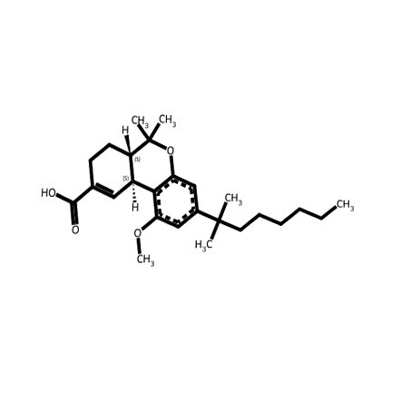 CCCCCCC(C)(C)c1cc(OC)c2c(c1)OC(C)(C)[C@H]1CCC(C(=O)O)=C[C@H]21